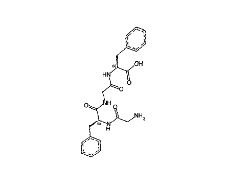 NCC(=O)N[C@@H](Cc1ccccc1)C(=O)NCC(=O)N[C@@H](Cc1ccccc1)C(=O)O